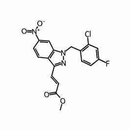 COC(=O)C=Cc1nn(Cc2ccc(F)cc2Cl)c2cc([N+](=O)[O-])ccc12